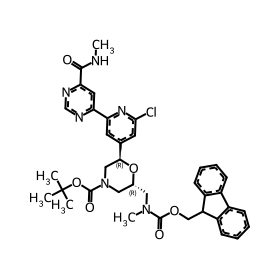 CNC(=O)c1cc(-c2cc([C@@H]3CN(C(=O)OC(C)(C)C)C[C@@H](CN(C)C(=O)OCC4c5ccccc5-c5ccccc54)O3)cc(Cl)n2)ncn1